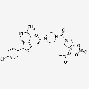 CC1=C(OC(=O)N2CCN(C(=O)[C@@H]3C[C@H](O[N+](=O)[O-])[C@H](O[N+](=O)[O-])C3)CC2)C2=COC(c3ccc(Cl)cc3)C2=CN1